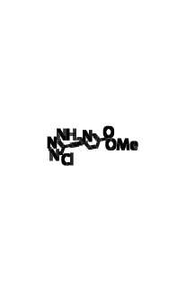 COC(=O)c1ccc(C#Cc2c(N)ncnc2Cl)nc1